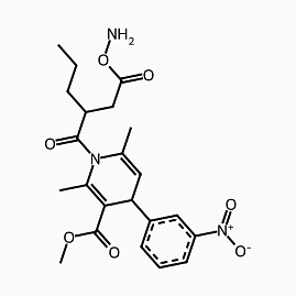 CCCC(CC(=O)ON)C(=O)N1C(C)=CC(c2cccc([N+](=O)[O-])c2)C(C(=O)OC)=C1C